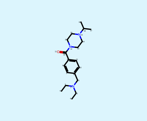 CCN(CC)Cc1ccc(C(=O)N2CCN(C(C)C)CC2)cc1